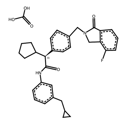 O=C(Nc1cccc(CC2CC2)c1)[C@H](c1ccc(CN2Cc3c(F)cccc3C2=O)cc1)C1CCCC1.O=C(O)O